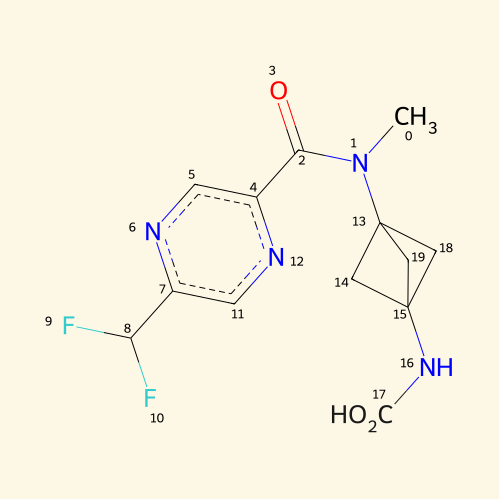 CN(C(=O)c1cnc(C(F)F)cn1)C12CC(NC(=O)O)(C1)C2